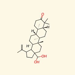 C=C(C)C1CCC2(C(O)O)CC[C@]3(C)[C@H](CC[C@@H]4[C@@]5(C)CCC(=O)C(C)(C)[C@@H]5CC[C@]43C)C12